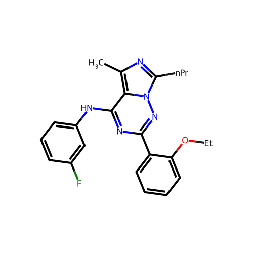 CCCc1nc(C)c2c(Nc3cccc(F)c3)nc(-c3ccccc3OCC)nn12